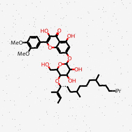 C/C=C(\C)[C@@H](CCC(C)CCCC(C)CCCC(C)C)OC1C(CO)OC(Oc2cc(O)c3c(=O)c(O)c(-c4ccc(OC)c(OC)c4)oc3c2)C(O)C1O